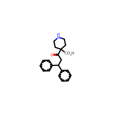 O=C(O)C1(C(=O)CC(c2ccccc2)c2ccccc2)CCNCC1